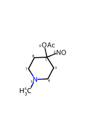 CC(=O)OC1(N=O)CCN(C)CC1